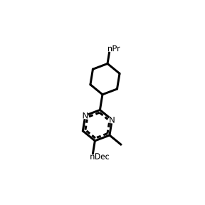 CCCCCCCCCCc1cnc(C2CCC(CCC)CC2)nc1C